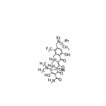 CCN(Cc1cc(O)c2c(c1C(F)(F)F)C[C@H]1C[C@H]3[C@H](N(C)C)C(O)=C(C(N)=O)C(=O)[C@@]3(O)C(O)=C1C2=O)[C@@H](C)C(C)C